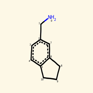 NCc1ccc2c(c1)CCC2